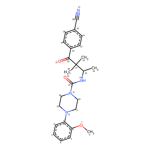 COc1ccccc1N1CCN(C(=O)NC(C)C(C)(C)C(=O)c2ccc(C#N)cc2)CC1